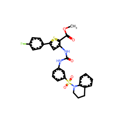 COC(=O)c1sc(-c2ccc(F)cc2)cc1NC(=O)Nc1cccc(S(=O)(=O)N2CCCc3ccccc32)c1